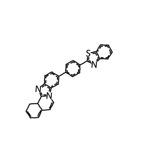 C1=CCC2C(=C1)C=Cn1c2nc2ccc(-c3ccc(-c4nc5ccccc5s4)cc3)cc21